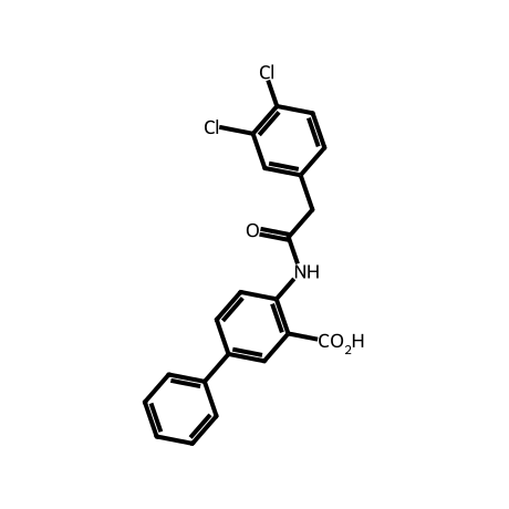 O=C(Cc1ccc(Cl)c(Cl)c1)Nc1ccc(-c2ccccc2)cc1C(=O)O